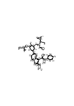 Cc1c(CN(C=O)C(C)C2CC2)cc(-c2ccn3nc(N)c(C(=O)Nc4cccnc4)c3n2)cc1OC(F)F